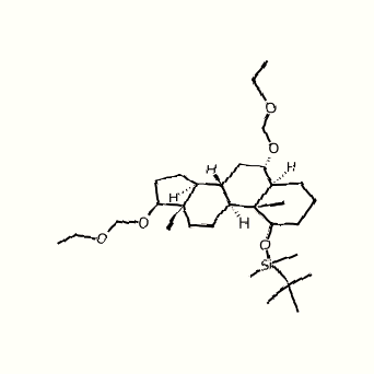 CCOCO[C@H]1C[C@H]2[C@@H]3CC[C@H](OCOCC)[C@@]3(C)CC[C@@H]2[C@@]2(C)C(O[Si](C)(C)C(C)(C)C)CCC[C@H]12